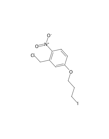 O=[N+]([O-])c1ccc(OCCCI)cc1CCl